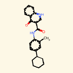 Cc1cc(C2CCCCC2)ccc1NC(=O)c1c[nH]c2ccccc2c1=O